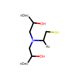 CCCCCCCCCCC(O)CN(CC(O)CCCCCCCCCC)C(CS)C(C)=O